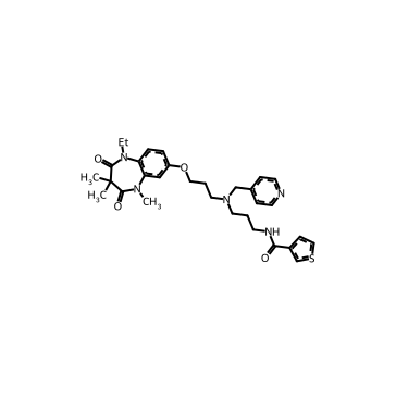 CCN1C(=O)C(C)(C)C(=O)N(C)c2cc(OCCCN(CCCNC(=O)c3ccsc3)Cc3ccncc3)ccc21